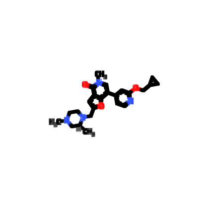 C[C@@H]1CN(C)CCN1Cc1cc2c(=O)n(C)cc(-c3ccnc(OCC4CC4)c3)c2o1